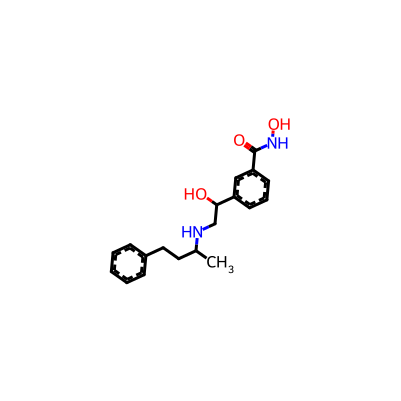 CC(CCc1ccccc1)NCC(O)c1cccc(C(=O)NO)c1